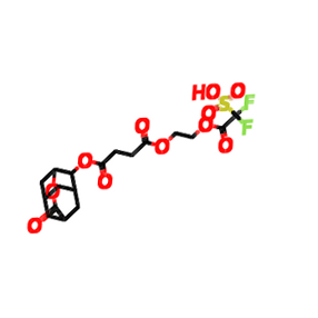 O=C(CCC(=O)OC1C2CC3CC(C2)C(=O)OC1C3)OCCOC(=O)C(F)(F)S(=O)(=O)O